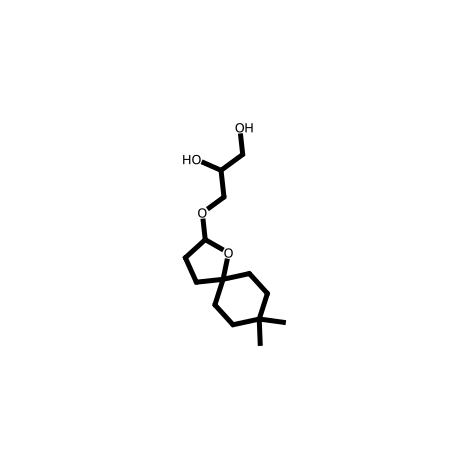 CC1(C)CCC2(CCC(OCC(O)CO)O2)CC1